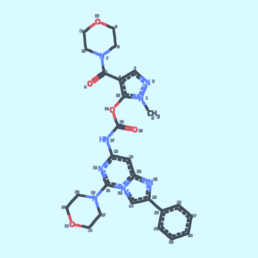 Cn1ncc(C(=O)N2CCOCC2)c1OC(=O)Nc1cc2nc(-c3ccccc3)cn2c(N2CCOCC2)n1